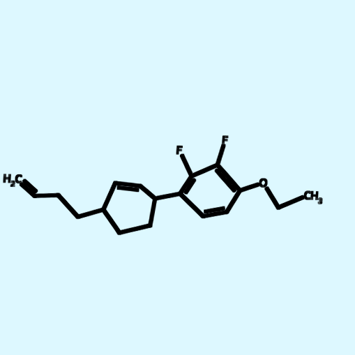 C=CCCC1C=CC(c2ccc(OCC)c(F)c2F)CC1